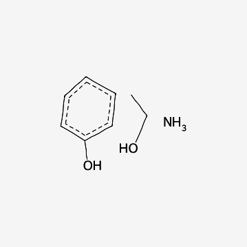 CCO.N.Oc1ccccc1